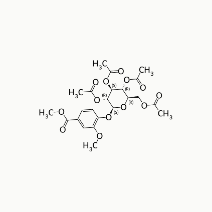 COC(=O)c1ccc(O[C@@H]2O[C@H](COC(C)=O)[C@@H](OC(C)=O)[C@H](OC(C)=O)[C@H]2OC(C)=O)c(OC)c1